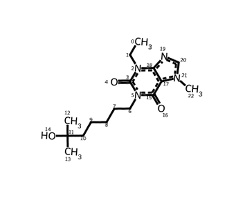 CCn1c(=O)n(CCCCCC(C)(C)O)c(=O)c2c1ncn2C